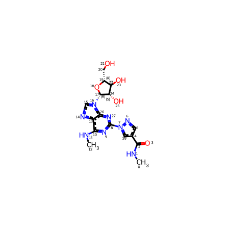 CNC(=O)c1cnn(-c2nc(NC)c3ncn([C@@H]4O[C@H](CO)C(O)[C@@H]4O)c3n2)c1